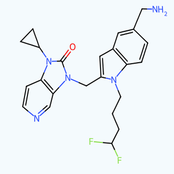 NCc1ccc2c(c1)cc(Cn1c(=O)n(C3CC3)c3ccncc31)n2CCCC(F)F